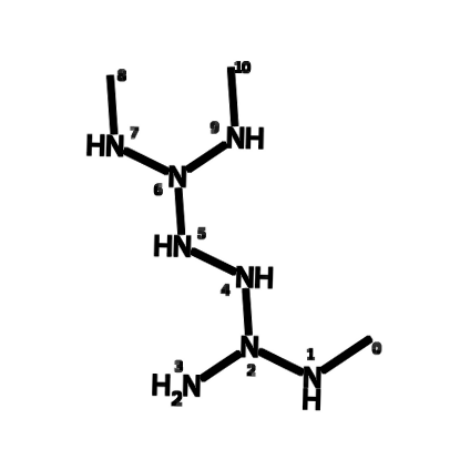 CNN(N)NNN(NC)NC